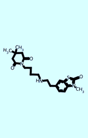 Cn1c(=O)sc2cc(CCNCCCCN3C(=O)CC(C)(C)CC3=O)ccc21